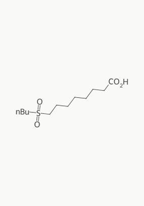 CCCCS(=O)(=O)CCCCCCCC(=O)O